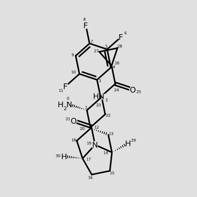 N[C@H](Cc1cc(F)c(F)cc1F)[C@@H]1C[C@H]2CC[C@@H](C1)N2C(=O)CNC(=O)C1CC1